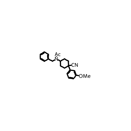 COc1cccc(C2(C#N)CCC(N(Cc3ccccc3)C(C)=O)CC2)c1